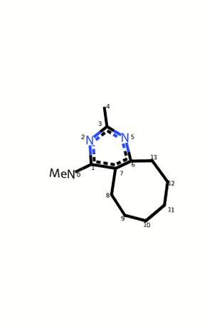 CNc1nc(C)nc2c1CCCCCC2